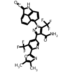 Cc1nc(-c2ncc(-c3nn(-c4ccc5[nH]c(=C=O)c6cccc4c56)c(C(F)(F)F)c3C(N)=O)cc2C(F)(F)F)oc1C